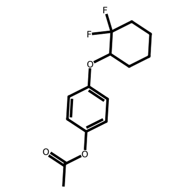 CC(=O)Oc1ccc(OC2CCCCC2(F)F)cc1